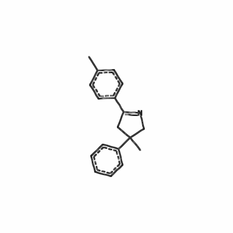 Cc1ccc(C2=NCC(C)(c3ccccc3)C2)cc1